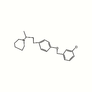 CC(CCc1ccc(OCc2cccc(Cl)c2)cc1)N1CCCCC1